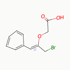 O=C(O)CO/C(=C\c1ccccc1)CBr